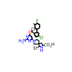 CCC1NC(C(=O)O)CC12CCN(c1cc(O[C@H](c3ccc(Cl)cc3-c3ccc(F)c(C)c3)C(F)(F)F)nc(N)n1)CC2